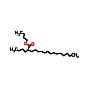 CCCCCCCCCCCCCCC(CCCC)C(=O)OCCCC